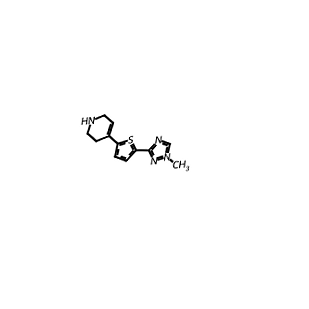 Cn1cnc(-c2ccc(C3=CCNCC3)s2)n1